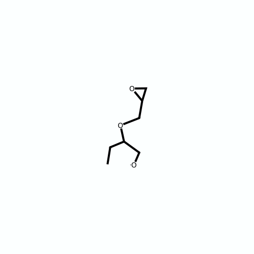 CCC(C[O])OCC1CO1